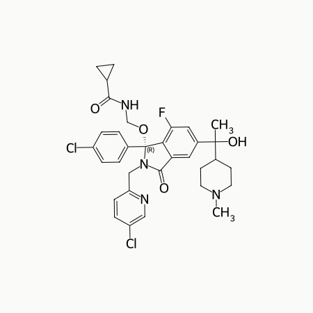 CN1CCC(C(C)(O)c2cc(F)c3c(c2)C(=O)N(Cc2ccc(Cl)cn2)[C@@]3(OCNC(=O)C2CC2)c2ccc(Cl)cc2)CC1